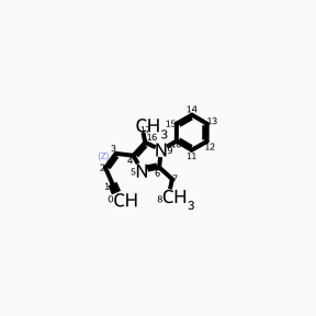 C#C/C=C\c1nc(CC)n(-c2ccccc2)c1C